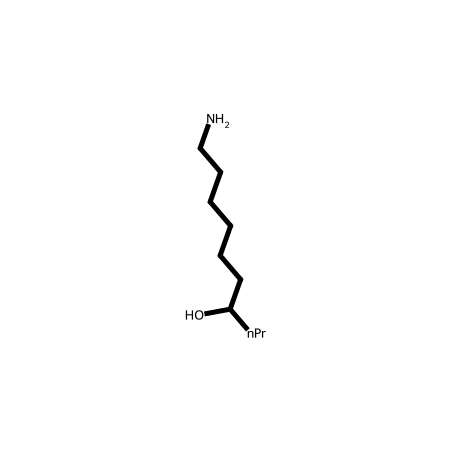 CCCC(O)CCCCCCN